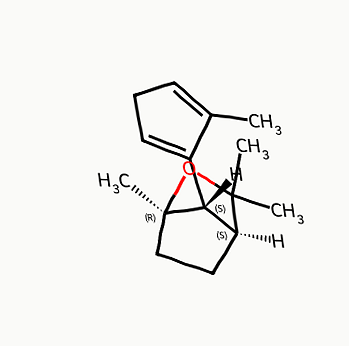 CC1=CCC=C1[C@@H]1[C@@H]2CC[C@@]1(C)OC2(C)C